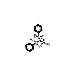 CS(C)(C)P(S(C)(C)c1ccccc1)S(C)(C)c1ccccc1